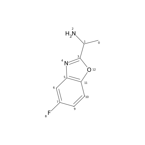 CC(N)c1nc2cc(F)ccc2o1